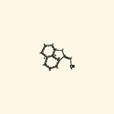 N#C/C=C1/Cc2cccc3cccc1c23